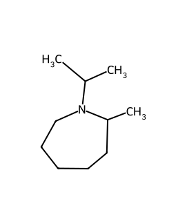 CC(C)N1CCCCCC1C